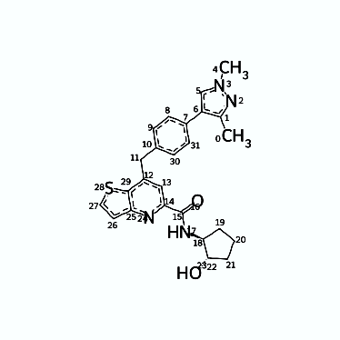 Cc1nn(C)cc1-c1ccc(Cc2cc(C(=O)N[C@H]3CCC[C@@H]3O)nc3ccsc23)cc1